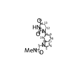 CNC(=O)Cn1ccc2ccc(N3CCC(=O)NC3=O)cc21